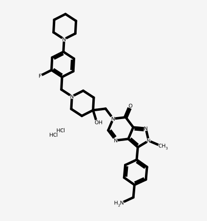 Cl.Cl.Cn1nc2c(=O)n(CC3(O)CCN(Cc4ccc(N5CCCCC5)cc4F)CC3)cnc2c1-c1ccc(CN)cc1